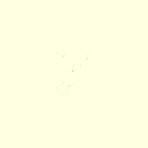 CCCCCCC(=O)OCC1(COC(=O)CCCCCC)COc2cscc2OC1